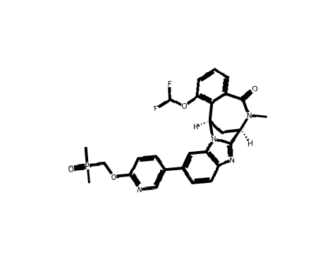 CN1C(=O)c2cccc(OC(F)F)c2[C@H]2C[C@@H]1c1nc3ccc(-c4ccc(OCP(C)(C)=O)nc4)cc3n12